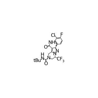 CC(C)(C)NC(=O)N1Cc2c(C(N)=O)c(-c3ccc(F)c(Cl)c3)nn2C(C(F)(F)F)C1